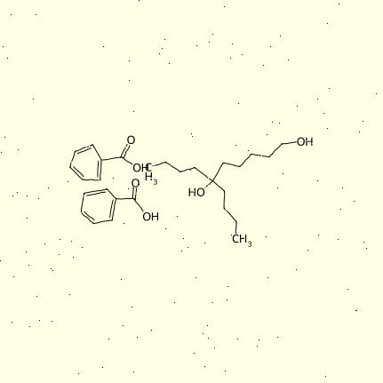 CCCCC(O)(CCCC)CCCCCO.O=C(O)c1ccccc1.O=C(O)c1ccccc1